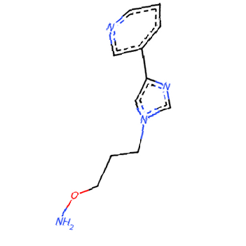 NOCCCn1cnc(-c2cccnc2)c1